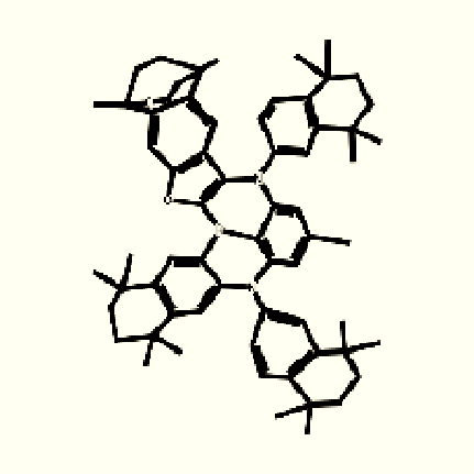 Cc1cc2c3c(c1)N(c1ccc4c(c1)C(C)(C)CCC4(C)C)c1c(oc4cc5c(cc14)C1(C)CCCC5(C)CC1)B3c1cc3c(cc1N2c1ccc2c(c1)C(C)(C)CCC2(C)C)C(C)(C)CCC3(C)C